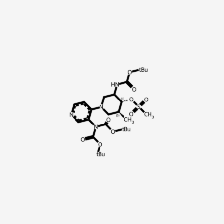 C[C@H]1CN(c2ccncc2N(C(=O)OC(C)(C)C)C(=O)OC(C)(C)C)CC(NC(=O)OC(C)(C)C)[C@@H]1OS(C)(=O)=O